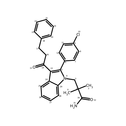 CC(C)(Cn1c(-c2ccc(Cl)cc2)c(C(=O)CCc2ccccc2)c2ccccc21)C(N)=O